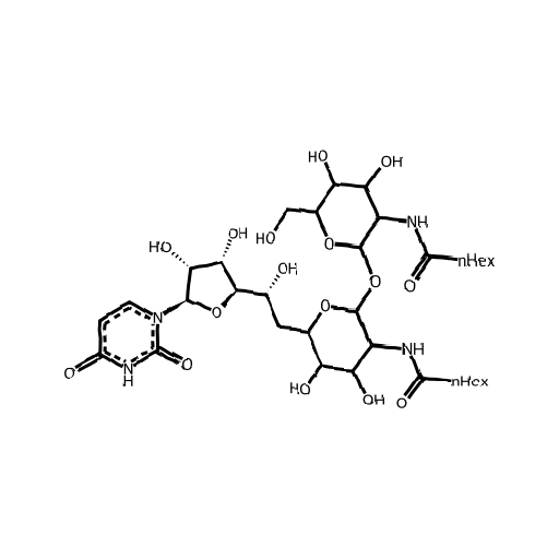 CCCCCCC(=O)NC1C(OC2OC(C[C@@H](O)[C@H]3O[C@@H](n4ccc(=O)[nH]c4=O)[C@H](O)[C@@H]3O)C(O)C(O)C2NC(=O)CCCCCC)OC(CO)C(O)C1O